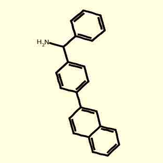 NC(c1ccccc1)c1ccc(-c2ccc3ccccc3c2)cc1